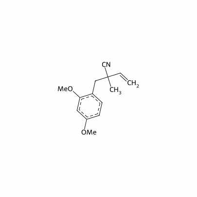 C=CC(C)(C#N)Cc1ccc(OC)cc1OC